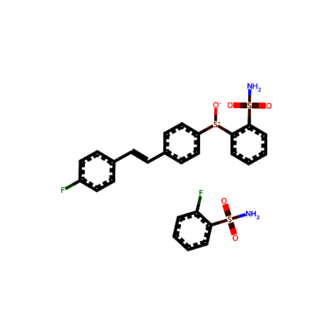 NS(=O)(=O)c1ccccc1F.NS(=O)(=O)c1ccccc1[S+]([O-])c1ccc(C=Cc2ccc(F)cc2)cc1